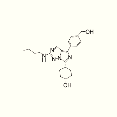 CCCCNc1ncc2c(-c3ccc(CO)cc3)nc([C@H]3CC[C@@H](O)CC3)n2n1